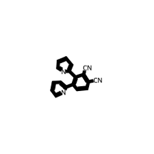 N#Cc1ccc(-c2ccccn2)c(-c2ccccn2)c1C#N